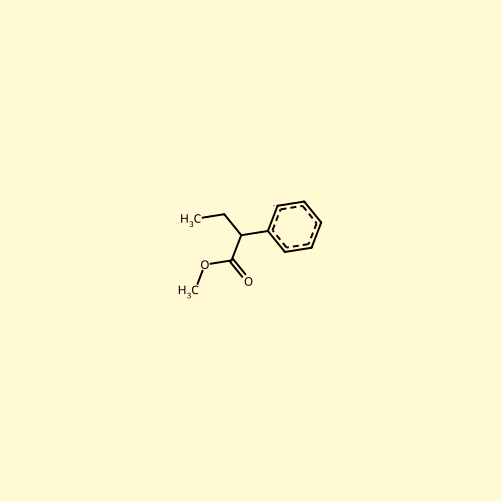 CCC(C(=O)OC)c1[c]cccc1